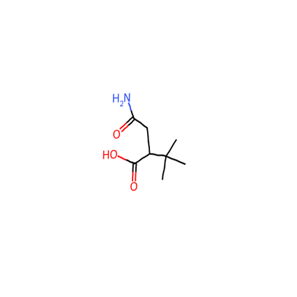 CC(C)(C)C(CC(N)=O)C(=O)O